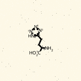 NC(CCc1nnn[nH]1)C(=O)O